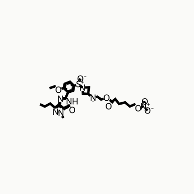 CCCc1nn(C)c2c(=O)[nH]c(-c3cc([S+]([O-])N4CC(N(C)CCOC(=O)CCCCCO[N+](=O)[O-])C4)ccc3OCC)nc12